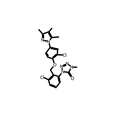 Cc1nn(-c2ccc(OCc3c(Cl)cccc3-n3nnn(C)c3=O)c(Cl)c2)c(C)c1C